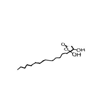 CCCCCCCCCCCCCC(O)(O[C]=O)C(C)O